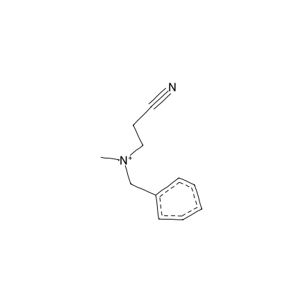 C[N+](CCC#N)Cc1ccccc1